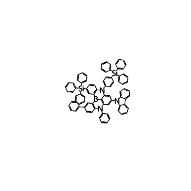 c1ccc(-c2ccc3c(c2)B2c4cc([Si](c5ccccc5)(c5ccccc5)c5ccccc5)ccc4N(c4ccc([Si](c5ccccc5)(c5ccccc5)c5ccccc5)cc4)c4cc(-n5c6ccccc6c6ccccc65)cc(c42)N3c2ccccc2)cc1